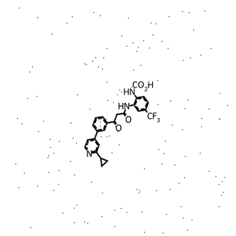 O=C(O)Nc1ccc(C(F)(F)F)cc1NC(=O)CC(=O)c1cccc(-c2ccnc(C3CC3)c2)c1